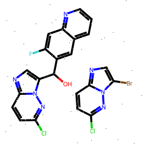 Clc1ccc2ncc(Br)n2n1.OC(c1cc2cccnc2cc1F)c1cnc2ccc(Cl)nn12